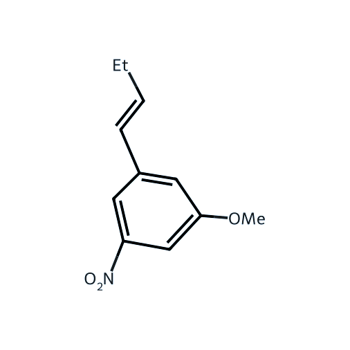 CC/C=C/c1cc(OC)cc([N+](=O)[O-])c1